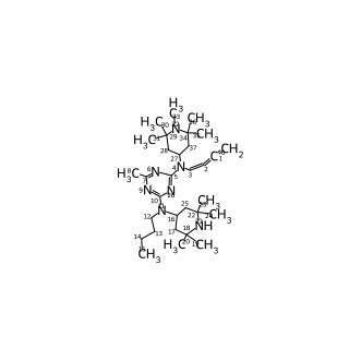 C=C=C=CN(c1nc(C)nc(N(CCCC)C2CC(C)(C)NC(C)(C)C2)n1)C1CC(C)(C)N(C)C(C)(C)C1